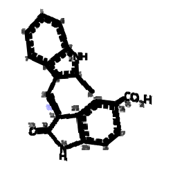 Cc1[nH]c2ccccc2c1/C=C1/C(=O)Nc2ccc(C(=O)O)cc21